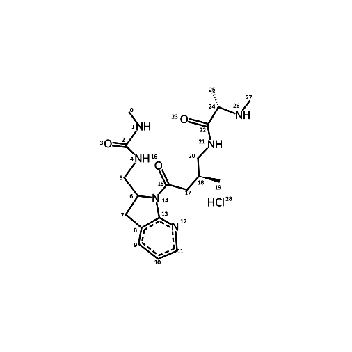 CNC(=O)NCC1Cc2cccnc2N1C(=O)C[C@H](C)CNC(=O)[C@H](C)NC.Cl